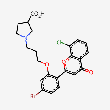 O=C(O)C1CCN(CCCOc2cc(Br)ccc2-c2cc(=O)c3cccc(Cl)c3o2)C1